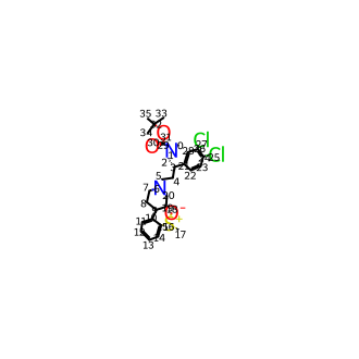 CN(C[C@@H](CCN1CCC(c2ccccc2[S@+](C)[O-])CC1)c1ccc(Cl)c(Cl)c1)C(=O)OC(C)(C)C